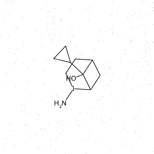 NI1CCC2CC1C2(O)C1CC1